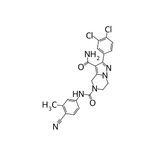 Cc1cc(NC(=O)N2CCn3nc(-c4ccc(Cl)c(Cl)c4)c(C(N)=O)c3C2)ccc1C#N